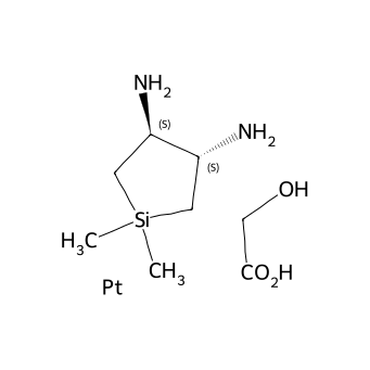 C[Si]1(C)C[C@@H](N)[C@H](N)C1.O=C(O)CO.[Pt]